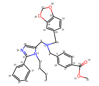 CCCCn1c(CN(Cc2ccc(C(=O)OC)cc2)Cc2ccc3c(c2)OCO3)cnc1-c1ccccc1